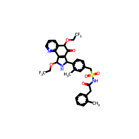 Cc1ccccc1CC(=O)NS(=O)(=O)Cc1ccc(C2NC(OCC(F)(F)F)C3=C2C(=O)C(OCC(F)(F)F)c2cccnc23)c(C)c1